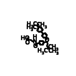 CC(C)(C)CCC(Oc1ccc(-c2ccc(C(C)(C)C)cc2)cc1)c1ccc(C(=O)NCCC(=O)O)cc1